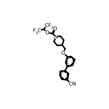 N#Cc1cccc(-c2cccc(OCC3CCN(C(=O)OC(C(F)(F)F)C(F)(F)F)CC3)c2)c1